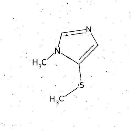 CSc1cncn1C